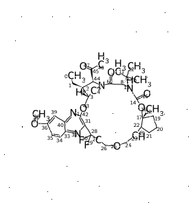 CC[C@@H]1[C@@H]2CN(C(=O)[C@H](C(C)(C)C)NC(=O)O[C@]3(C)CCC[C@H]3CCOCCC(F)(F)c3nc4ccc(OC)cc4nc3O2)[C@@H]1C(C)=O